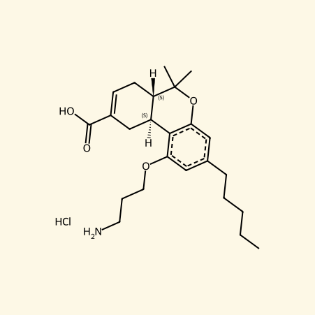 CCCCCc1cc(OCCCN)c2c(c1)OC(C)(C)[C@H]1CC=C(C(=O)O)C[C@H]21.Cl